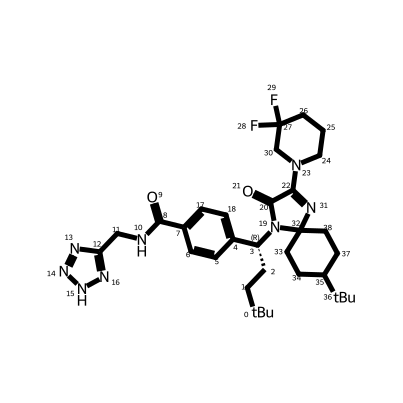 CC(C)(C)CC[C@H](c1ccc(C(=O)NCc2nn[nH]n2)cc1)N1C(=O)C(N2CCCC(F)(F)C2)=NC12CCC(C(C)(C)C)CC2